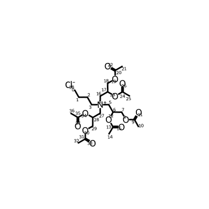 CCCC[N+](CC(COC(C)=O)OC(C)=O)(CC(COC(C)=O)OC(C)=O)CC(COC(C)=O)OC(C)=O.[Cl-]